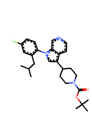 CC(C)Cc1cc(F)ccc1-n1cc(C2CCN(C(=O)OC(C)(C)C)CC2)c2ccncc21